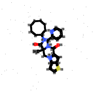 CC1(C(=O)NC2CCCCCCC2)Cn2c(cc3sccc32)C(=O)N1Cc1ccccn1